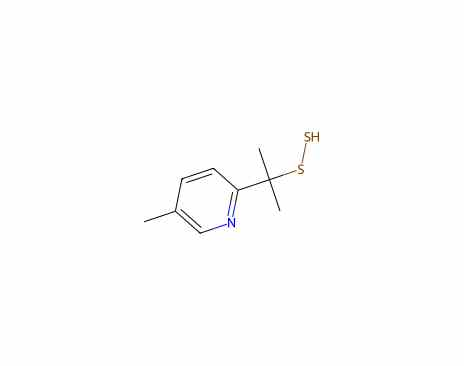 Cc1ccc(C(C)(C)SS)nc1